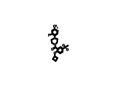 CS(=O)(=O)c1ccc(OC2CCC2)c(C(=O)N2CCN(c3ccc(C(F)(F)F)cc3F)CC2)c1